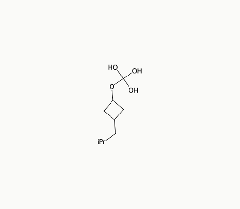 CC(C)CC1CC(OC(O)(O)O)C1